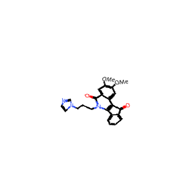 COc1cc2c3c(n(CCCn4ccnc4)c(=O)c2cc1OC)-c1ccccc1C3=O